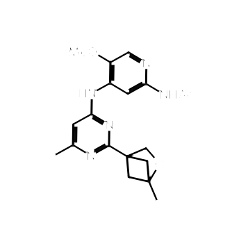 COc1cnc(NC(C)=O)cc1Nc1cc(C)nc(C23COC(C)(C2)C3)n1